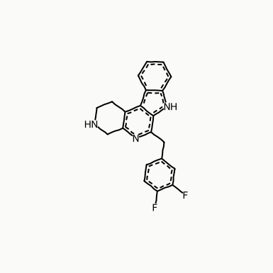 Fc1ccc(Cc2nc3c(c4c2[nH]c2ccccc24)CCNC3)cc1F